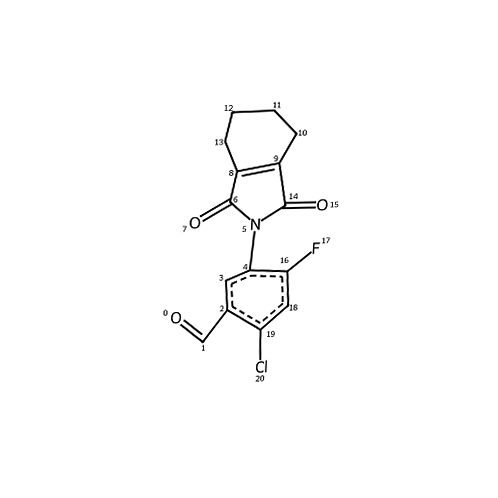 O=Cc1cc(N2C(=O)C3=C(CCCC3)C2=O)c(F)cc1Cl